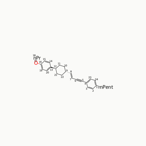 CCCCCc1ccc(C#CC=C[C@H]2CC[C@H](c3ccc(OCCC)cc3)CC2)cc1